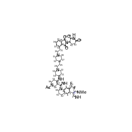 CN/C=C(\C=N)c1cc2c(cc1C(F)F)N(C(=N)C1=C(NC3CCN(CCC4CCN(CCc5cccc6c5C(=O)N(C5CCC(=O)NC5=O)C6=O)CC4)CC3)CCN(C(C)=O)C1)CCC2